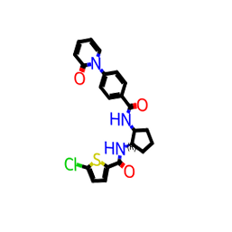 O=C(NC1CCC[C@H]1NC(=O)c1ccc(Cl)s1)c1ccc(-n2ccccc2=O)cc1